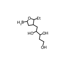 BC1CC(CC(O)C(O)CCO)C(CC)O1